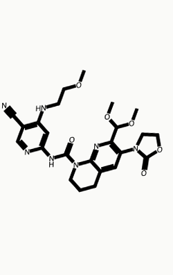 COCCNc1cc(NC(=O)N2CCCc3cc(N4CCOC4=O)c(C(OC)OC)nc32)ncc1C#N